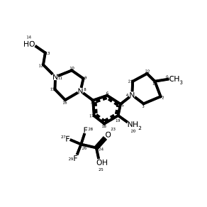 CC1CCN(c2cc(N3CCN(CCO)CC3)ccc2N)CC1.O=C(O)C(F)(F)F